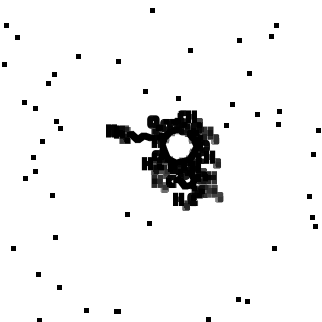 CC[C@H]1OC(=O)[C@@](C)(F)C(=O)[C@H](C)[C@@H](O[C@@H]2OC(C)CC(N(C)C)C2O)[C@](C)(OC)C[C@@H](C)C(=O)C[C@H]2N(CCCCN=[N+]=[N-])C(=O)O[C@]12C